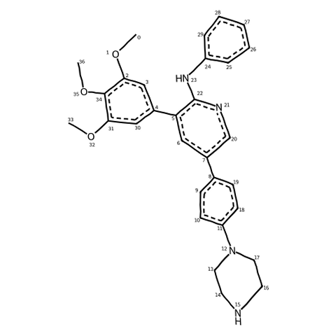 COc1cc(-c2cc(-c3ccc(N4CCNCC4)cc3)cnc2Nc2ccccc2)cc(OC)c1OC